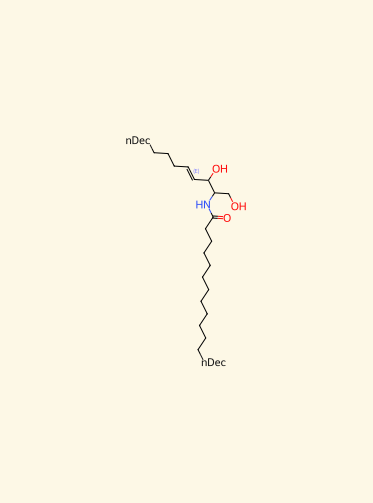 CCCCCCCCCCCCC/C=C/C(O)C(CO)NC(=O)CCCCCCCCCCCCCCCCCCCCC